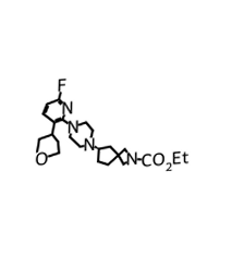 CCOC(=O)N1CC2(CC[C@@H](N3CCN(c4nc(F)ccc4C4CCOCC4)CC3)C2)C1